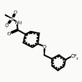 CS(=O)(=O)NC(=O)c1ccc(OCc2cccc(C(F)(F)F)c2)cc1